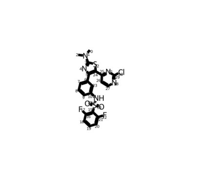 CN(C)c1nc(-c2cccc(NS(=O)(=O)c3c(F)cccc3F)c2)c(-c2ccnc(Cl)n2)s1